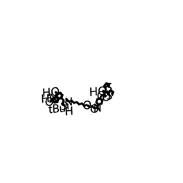 CN(OCCOCCCCCCNC[C@H](C[Si](C)(C)C(C)(C)C)c1ccc(O)c2[nH]c(=O)ccc12)C1CCC(OC(=O)C(O)(c2cccs2)c2cccs2)CC1